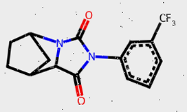 O=C1C2C3CCC(C3)N2C(=O)N1c1cccc(C(F)(F)F)c1